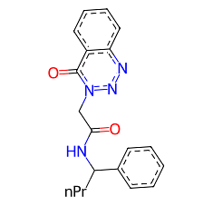 CCCC(NC(=O)Cn1nnc2ccccc2c1=O)c1ccccc1